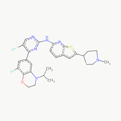 CC(C)N1CCOc2c(F)cc(-c3nc(Nc4ccc5cc(C6CCN(C)CC6)sc5n4)ncc3F)cc21